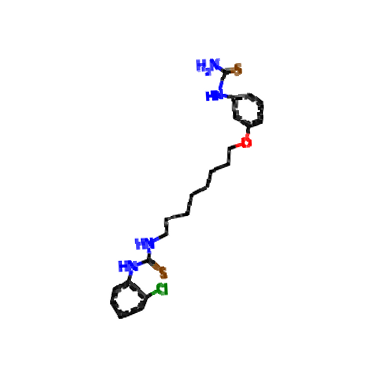 NC(=S)Nc1cccc(OCCCCCCCCNC(=S)Nc2ccccc2Cl)c1